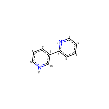 [c]1ccc(-c2ccccn2)cn1